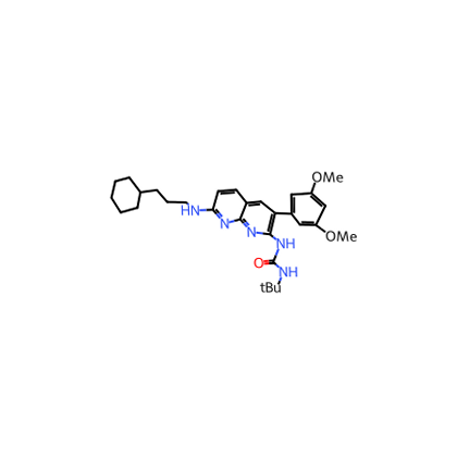 COc1cc(OC)cc(-c2cc3ccc(NCCCC4CCCCC4)nc3nc2NC(=O)NC(C)(C)C)c1